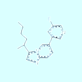 CCCCC(C)c1cnc2ccc(-c3cncc(F)c3)cn12